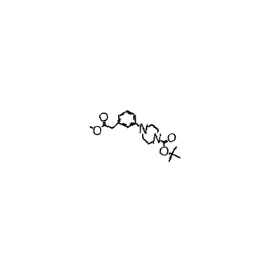 COC(=O)Cc1cccc(N2CCN(C(=O)OC(C)(C)C)CC2)c1